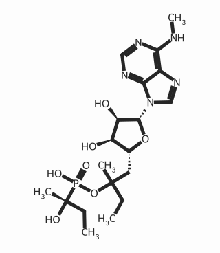 CCC(C)(C[C@H]1O[C@@H](n2cnc3c(NC)ncnc32)[C@H](O)[C@@H]1O)OP(=O)(O)[C@@](C)(O)CC